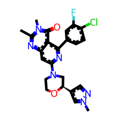 Cc1nc2cc(N3CCO[C@H](c4cnn(C)c4)C3)nc(-c3ccc(Cl)c(F)c3)c2c(=O)n1C